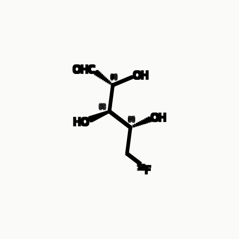 O=C[C@H](O)[C@H](O)[C@H](O)C[18F]